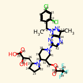 Cc1nn([C@H](C)c2ccc(Cl)cc2Cl)c2nc(N3CCC(N4CCC[C@H]4CC(O)C(=O)O)C(COC(=O)C(F)(F)F)C3)cnc12